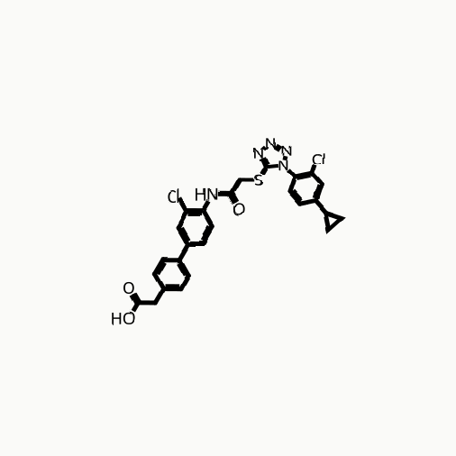 O=C(O)Cc1ccc(-c2ccc(NC(=O)CSc3nnnn3-c3ccc(C4CC4)cc3Cl)c(Cl)c2)cc1